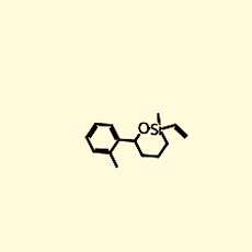 C=C[Si]1(C)CCCC(c2ccccc2C)O1